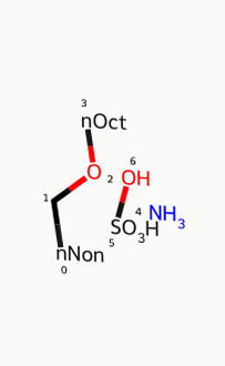 CCCCCCCCCCOCCCCCCCC.N.O=S(=O)(O)O